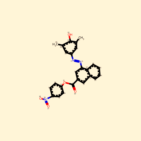 Cc1cc(/N=N/c2cc(C(=O)Oc3ccc([N+](=O)[O-])cc3)cc3ccccc23)cc(C)c1O